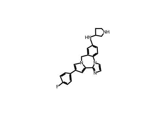 Fc1ccc(-c2cc3n(c2)Cc2cc(NC4CCNC4)ccc2-n2ccnc2-3)cc1